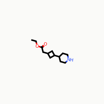 CCOC(=O)CC1CC(C2CCNCC2)C1